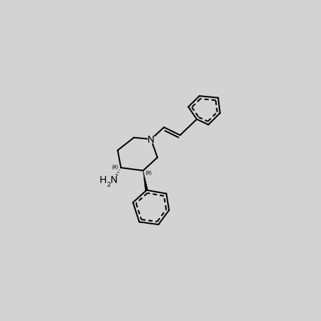 N[C@@H]1CCN(C=Cc2ccccc2)C[C@H]1c1ccccc1